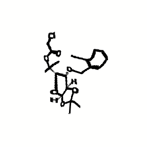 Cc1ccccc1CO[C@@H]1[C@H]2OC(C)(C)O[C@H]2O[C@@H]1C(C)(C)OC(=O)CCl